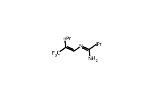 CCC/C(=C\N=C(/N)C(C)C)C(F)(F)F